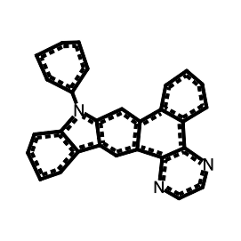 c1ccc(-n2c3ccccc3c3cc4c(cc32)c2ccccc2c2nccnc42)cc1